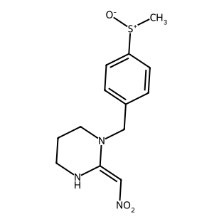 C[S+]([O-])c1ccc(CN2CCCNC2=C[N+](=O)[O-])cc1